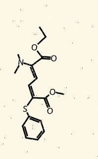 CCOC(=O)C(=CC=C(Sc1ccccc1)C(=O)OC)N(C)C